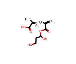 C=C(C)C(=O)O.C=C(C)C(=O)OC(O)CCO